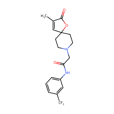 CC1=CC2(CCN(CC(=O)Nc3cccc(C(F)(F)F)c3)CC2)OC1=O